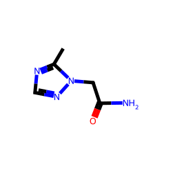 Cc1ncnn1CC(N)=O